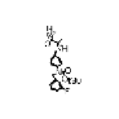 C[C@H](NCc1ccc(N(Cc2cccc(F)c2)C(=O)OC(C)(C)C)cc1)C(N)=O